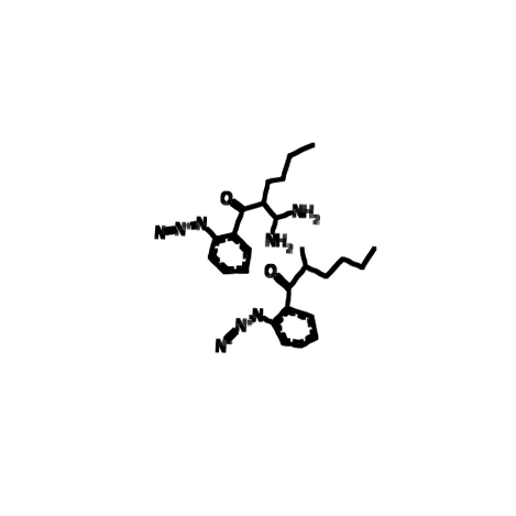 CCCCC(C(=O)c1ccccc1N=[N+]=[N-])C(N)N.CCCCC(C)C(=O)c1ccccc1N=[N+]=[N-]